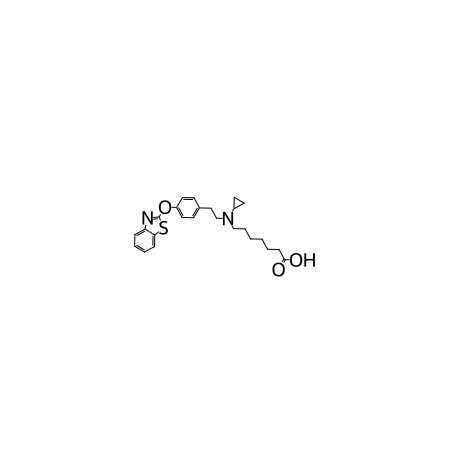 O=C(O)CCCCCCN(CCc1ccc(Oc2nc3ccccc3s2)cc1)C1CC1